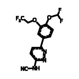 N#CNc1ccc(-c2ccc(OC(F)F)c(OCC(F)(F)F)c2)nn1